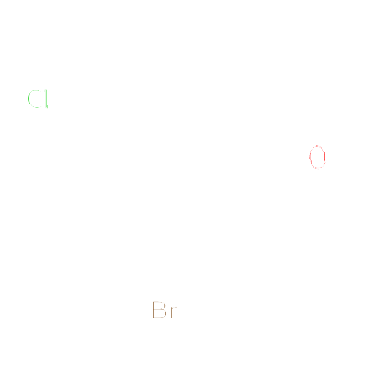 Clc1cc(CBr)c2c(c1)CCO2